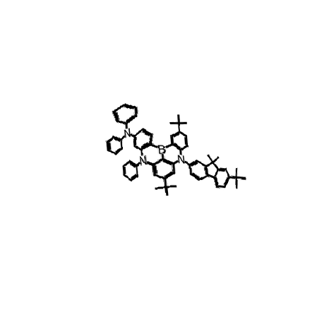 CC(C)(C)c1ccc2c(c1)B1c3ccc(N(c4ccccc4)c4ccccc4)cc3N(c3ccccc3)c3cc(C(C)(C)C)cc(c31)N2c1ccc2c(c1)C(C)(C)c1cc(C(C)(C)C)ccc1-2